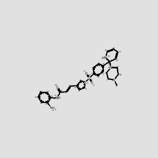 CN1CCN(C2(c3ccc(S(=O)(=O)n4ccc(/C=C/C(=O)Nc5ccccc5N)c4)cc3)C=CC=CN2)CC1